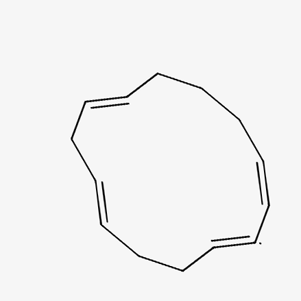 [C]1=C/CC/C=C/C/C=C/CCC\C=C/1